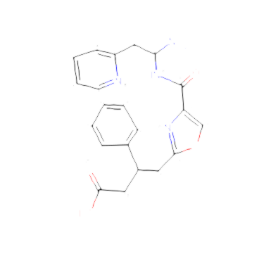 NC(Cc1ccccn1)NC(=O)c1coc(CC(CC(=O)O)c2ccccc2)n1